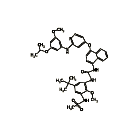 COc1cc(Nc2cc(Oc3ccc(NC(=O)Nc4cc(C(C)(C)C)cc(NS(C)(=O)=O)c4OC)c4ccccc34)ccn2)cc(OC(C)C)c1